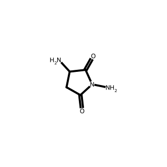 NC1CC(=O)N(N)C1=O